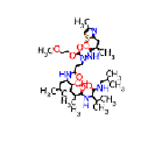 COCCOC(=O)N(CCC(=O)NC(CC(C)C)C(O)CC(C)C(=O)NC(C(=O)NCC(C)C)C(C)C)NC(=O)C(C)Cc1nc(C)cs1